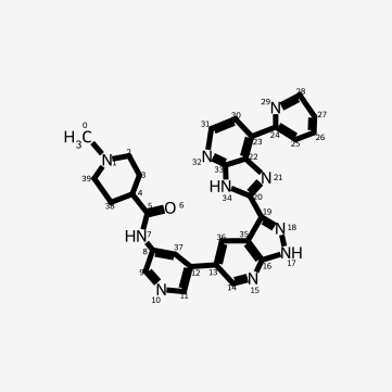 CN1CCC(C(=O)Nc2cncc(-c3cnc4[nH]nc(-c5nc6c(-c7ccccn7)ccnc6[nH]5)c4c3)c2)CC1